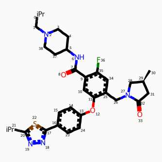 CC(C)CN1CCC(NC(=O)c2cc(Oc3ccc(-c4nnc(C(C)C)s4)cc3)c(CN3C[C@@H](C)CC3=O)cc2F)CC1